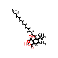 CCCCCCCCCCCCCCCc1c(C(C)C)ccc(C(=O)O)c1C(=O)O